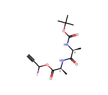 C#CC(I)OC(=O)[C@H](C)NC(=O)[C@H](C)NC(=O)OC(C)(C)C